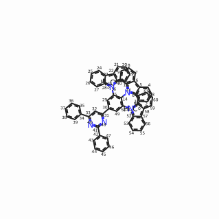 Cc1cccc2c3cccc(C)c3n(-c3c(-n4c5ccccc5c5ccccc54)cc(-c4cc(-c5ccccc5)nc(-c5ccccc5)n4)cc3-n3c4ccccc4c4ccccc43)c12